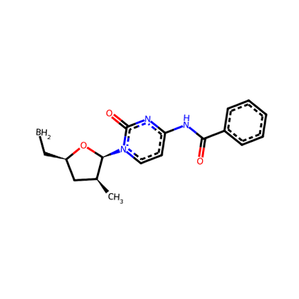 BC[C@@H]1C[C@H](C)[C@H](n2ccc(NC(=O)c3ccccc3)nc2=O)O1